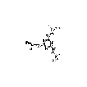 CC(C)N(C)C=Nc1nc(N=CN(C)C(C)C)nc(N=CN(C)C(C)C)n1